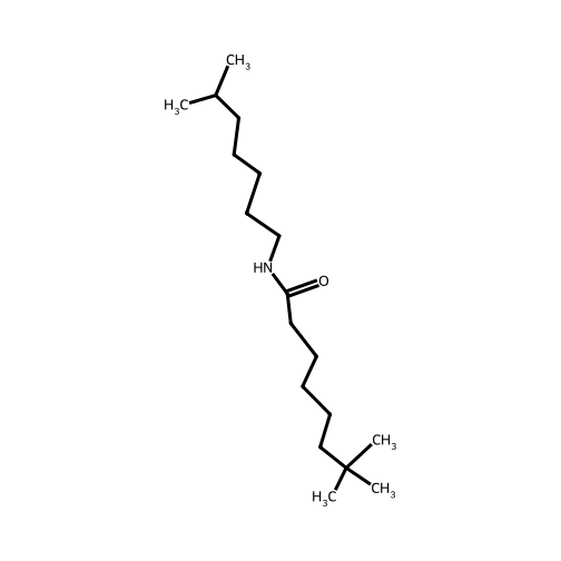 CC(C)CCCCCNC(=O)CCCCCC(C)(C)C